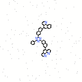 C1=CC2C=CC(c3cc4ccccc4c4ncccc34)=CC2C=C1c1nc(-c2ccccc2)nc(C2C=c3cc(-c4cc5cccnc5c5ncccc45)ccc3=CC2)n1